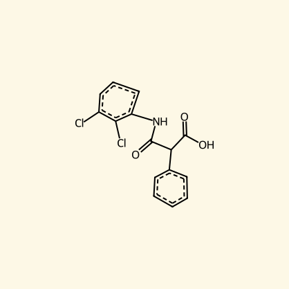 O=C(O)C(C(=O)Nc1cccc(Cl)c1Cl)c1ccccc1